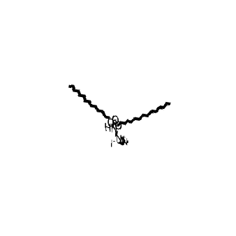 CCCCCCCCCCCCCCOP(=O)(NCC[n+]1ccn(C)c1)OCCCCCCCCCCCCCC.[I-]